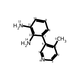 Cc1ccncc1-c1cccc(N)c1N